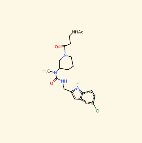 CC(=O)NCCC(=O)N1CCCC(N(C)C(=O)NCc2cc3cc(Cl)ccc3[nH]2)C1